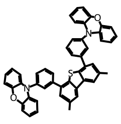 Cc1cc(-c2cccc(N3c4ccccc4Oc4ccccc43)c2)c2sc3c(-c4cccc(N5c6ccccc6Oc6ccccc65)c4)cc(C)cc3c2c1